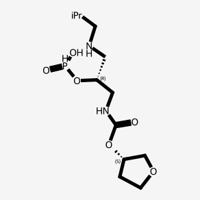 CC(C)CNC[C@H](CNC(=O)O[C@H]1CCOC1)O[PH](=O)O